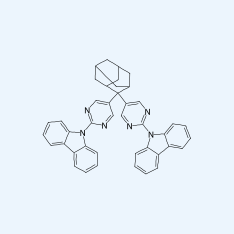 c1ccc2c(c1)c1ccccc1n2-c1ncc(C2(c3cnc(-n4c5ccccc5c5ccccc54)nc3)C3CC4CC(C3)CC2C4)cn1